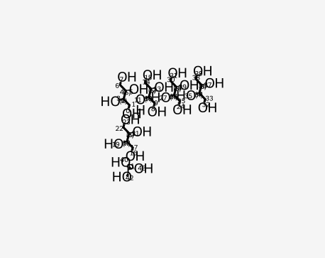 OC[C@@H](O)[C@@H](O)CO.OC[C@@H](O)[C@@H](O)CO.OC[C@@H](O)[C@@H](O)CO.OC[C@@H](O)[C@@H](O)CO.OC[C@@H](O)[C@@H](O)CO.OP(O)O